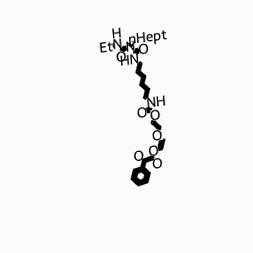 CCCCCCCN(C(=O)NCC)C(=O)NCCCCCCNC(=O)OCCO/C=C\OC(=O)C(=O)c1ccccc1